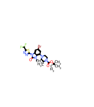 C[C@@H]1CN(c2cc(Br)cc3c2n(C)c(=O)n3-c2nnc(C(F)F)s2)CCN1C(=O)OC(C)(C)C